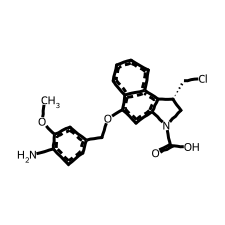 COc1cc(COc2cc3c(c4ccccc24)[C@H](CCl)CN3C(=O)O)ccc1N